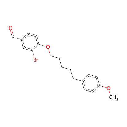 COc1ccc(CCCCCOc2ccc(C=O)cc2Br)cc1